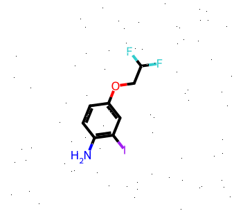 Nc1ccc(OCC(F)F)cc1I